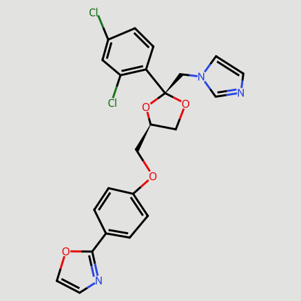 Clc1ccc([C@]2(Cn3ccnc3)OC[C@@H](COc3ccc(-c4ncco4)cc3)O2)c(Cl)c1